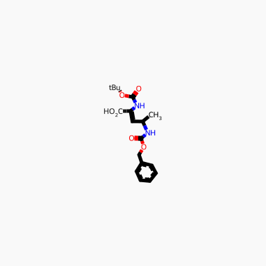 CC(C=C(NC(=O)OC(C)(C)C)C(=O)O)NC(=O)OCc1ccccc1